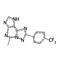 Cc1nc2nc[nH]c2c2nc(-c3ccc(C(F)(F)F)cc3)nn12